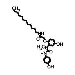 CCCCCCCCCCCCNC(=O)COc1ccc(O)cc1N(C)C(=O)Nc1ccc(O)cc1